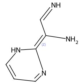 N=C/C(N)=C1/N=CC=CN1